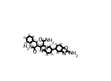 NC(=O)c1c(C(Cc2ccccc2)C(N)=O)nc2ccc(-c3ccc4oc(N)nc4c3)cn12